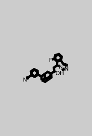 N#Cc1cccc(C2C3CC4CC2CC(C(O)CC2c5c(F)cccc5-c5cncn52)(C4)C3)c1